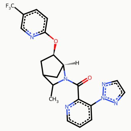 CC1C2C[C@@H](Oc3ccc(C(F)(F)F)cn3)[C@H](C2)N1C(=O)c1ncccc1-n1nccn1